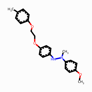 COc1ccc(N(C)Nc2ccc(OCCOc3ccc(C)cc3)cc2)cc1